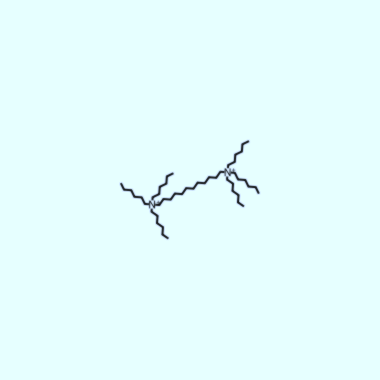 CCCCCC[N+](CCCCCC)(CCCCCC)CCCCCCCCCCCC[N+](CCCCCC)(CCCCCC)CCCCCC